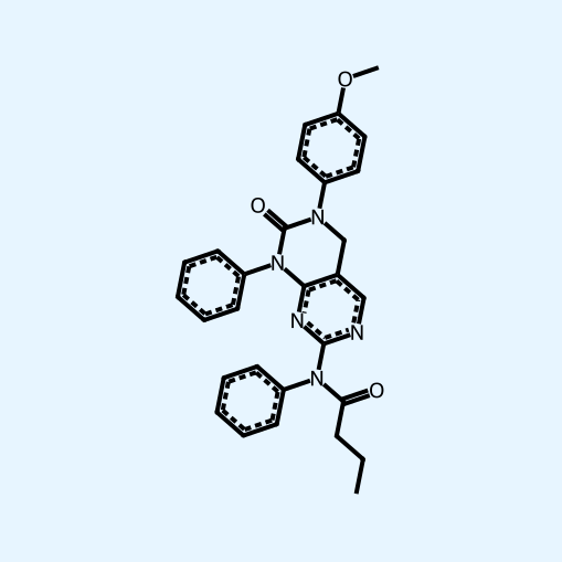 CCCC(=O)N(c1ccccc1)c1ncc2c(n1)N(c1ccccc1)C(=O)N(c1ccc(OC)cc1)C2